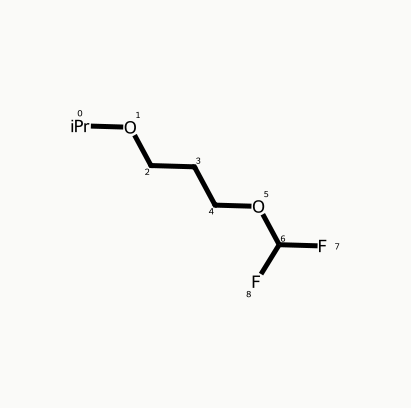 CC(C)OCCCOC(F)F